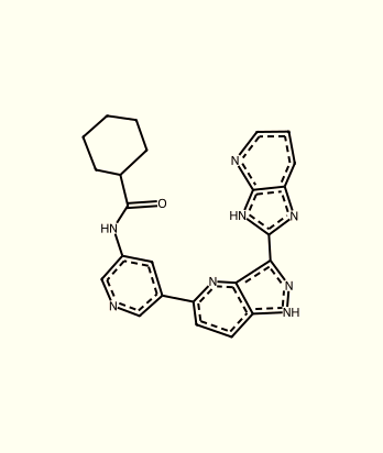 O=C(Nc1cncc(-c2ccc3[nH]nc(-c4nc5cccnc5[nH]4)c3n2)c1)C1CCCCC1